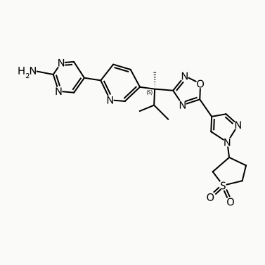 CC(C)[C@@](C)(c1ccc(-c2cnc(N)nc2)nc1)c1noc(-c2cnn(C3CCS(=O)(=O)C3)c2)n1